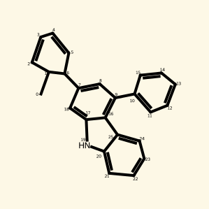 CC1C=CC=CC1c1cc(-c2ccccc2)c2c(c1)[nH]c1ccccc12